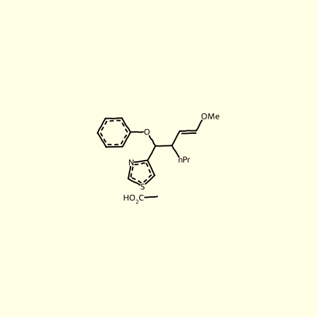 CC(=O)O.CCCC(C=COC)C(Oc1ccccc1)c1cscn1